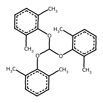 Cc1cccc(C)c1OC(Oc1c(C)cccc1C)Oc1c(C)cccc1C